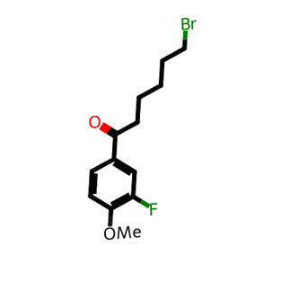 COc1ccc(C(=O)CCCCCBr)cc1F